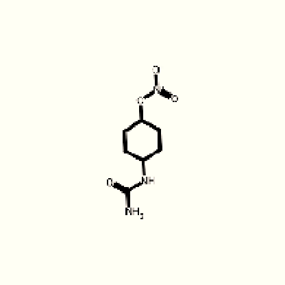 NC(=O)NC1CCC(O[N+](=O)[O-])CC1